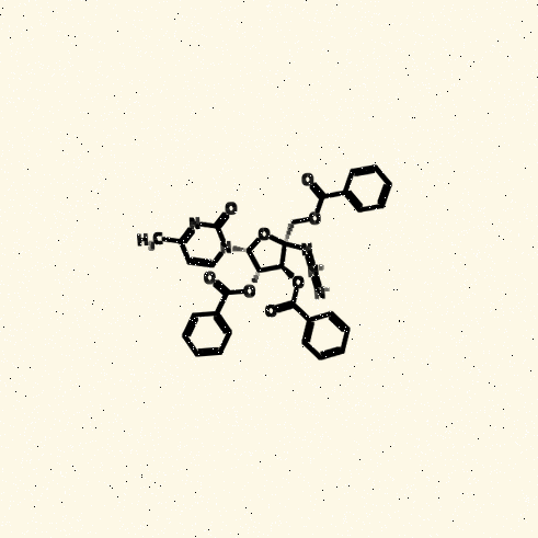 Cc1ccn([C@@H]2O[C@@](COC(=O)c3ccccc3)(N=[N+]=[N-])[C@@H](OC(=O)c3ccccc3)[C@@H]2OC(=O)c2ccccc2)c(=O)n1